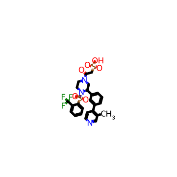 Cc1cnccc1-c1cccc(C2CN(C(=O)CS(=O)(=O)O)CCN2S(=O)(=O)c2ccccc2C(F)(F)F)c1